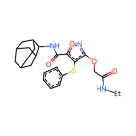 CCNC(=O)COc1noc(C(=O)NC2C3CC4CC(C3)CC2C4)c1Sc1ccccc1